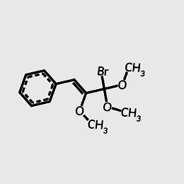 COC(=Cc1ccccc1)C(Br)(OC)OC